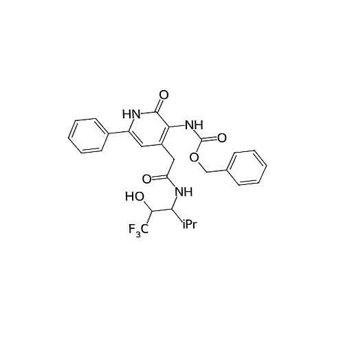 CC(C)C(NC(=O)Cc1cc(-c2ccccc2)[nH]c(=O)c1NC(=O)OCc1ccccc1)C(O)C(F)(F)F